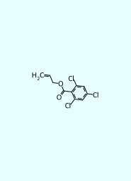 C=CCOC(=O)c1c(Cl)cc(Cl)cc1Cl